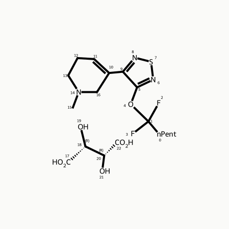 CCCCCC(F)(F)Oc1nsnc1C1=CCCN(C)C1.O=C(O)[C@H](O)[C@@H](O)C(=O)O